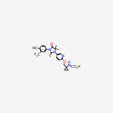 CC1(C)C(=O)N(c2ccc(C#N)c(C(F)(F)F)c2)C(=S)N1c1ccc(OCC2(NC(=O)O)CC2)nc1